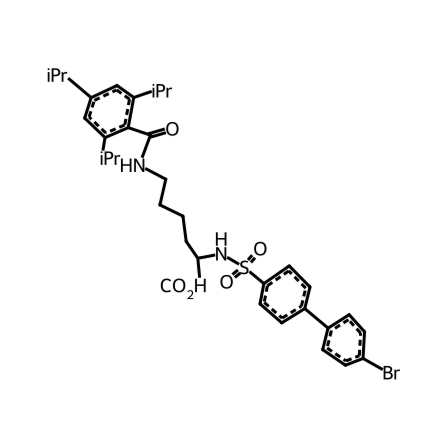 CC(C)c1cc(C(C)C)c(C(=O)NCCCCC(NS(=O)(=O)c2ccc(-c3ccc(Br)cc3)cc2)C(=O)O)c(C(C)C)c1